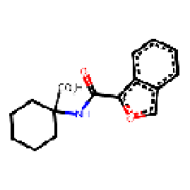 O=C(NC1(C(=O)O)CCCCC1)c1occ2ccccc12